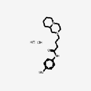 CC(C)(C)c1ccc(NC(=O)CCCN2CCN3CCCCC3C2)cc1.Cl.Cl